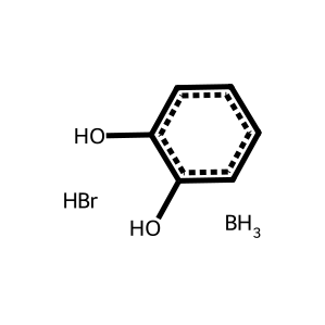 B.Br.Oc1ccccc1O